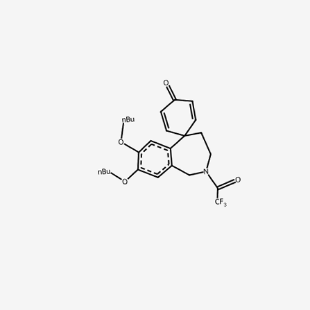 CCCCOc1cc2c(cc1OCCCC)C1(C=CC(=O)C=C1)CCN(C(=O)C(F)(F)F)C2